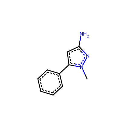 Cn1nc(N)cc1-c1ccccc1